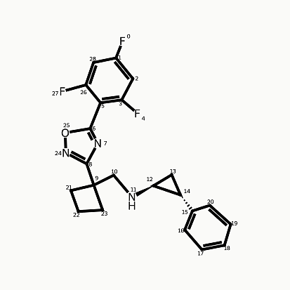 Fc1cc(F)c(-c2nc(C3(CN[C@H]4C[C@@H]4c4ccccc4)CCC3)no2)c(F)c1